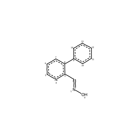 ON=Cc1ncccc1-c1ccccc1